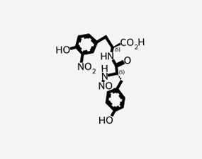 O=C(O)[C@H](Cc1ccc(O)c([N+](=O)[O-])c1)NC(=O)[C@H](Cc1ccc(O)cc1)N[N+](=O)[O-]